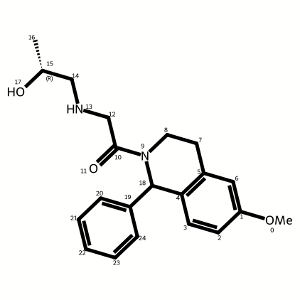 COc1ccc2c(c1)CCN(C(=O)CNC[C@@H](C)O)C2c1ccccc1